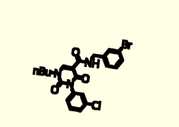 CCCCn1cc(C(=O)NCc2cccc(Br)c2)c(=O)n(-c2cccc(Cl)c2)c1=O